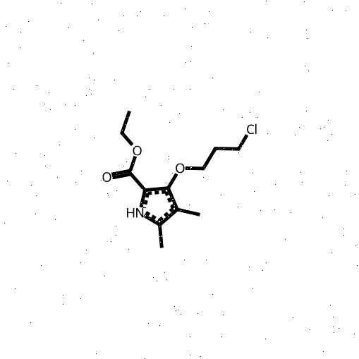 CCOC(=O)c1[nH]c(C)c(C)c1OCCCCl